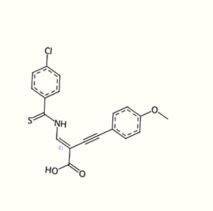 COc1ccc(C#C/C(=C\NC(=S)c2ccc(Cl)cc2)C(=O)O)cc1